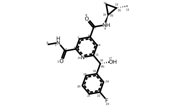 CNC(=O)c1cc(C(=O)N[C@H]2C[C@@H]2C)cc([C@H](O)c2cccc(F)c2)n1